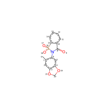 Cc1cc2c(cc1N1C(=O)c3ccccc3S1(=O)=O)OCO2